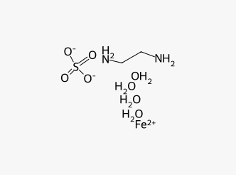 NCCN.O.O.O.O.O=S(=O)([O-])[O-].[Fe+2]